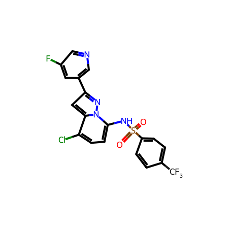 O=S(=O)(Nc1ccc(Cl)c2cc(-c3cncc(F)c3)nn12)c1ccc(C(F)(F)F)cc1